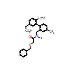 CCN(Cc1cc(C(F)(F)F)ccc1-c1cc(CC(=O)O)ccc1OC)C(=O)COCc1ccccc1